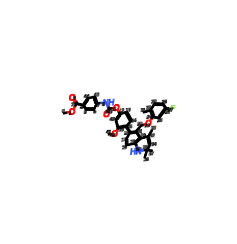 COC(=O)c1ccc(NC(=O)Oc2ccc(-c3ccc4c(c3COc3cc(F)ccc3C)C(C)=CC(C)(C)N4)c(OC)c2)cc1